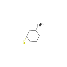 CCCC1CCC2SC2C1